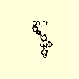 CCOC(=O)N1CCC2(CC(N3CCC([C@@H]4CCCN4C(=O)N4CCOCC4)CC3)C2)C1